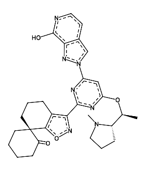 C[C@H](Oc1cc(-n2cc3ccnc(O)c3n2)nc(-c2noc3c2CCC[C@@]32CCCCC2=O)n1)[C@@H]1CCCN1C